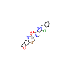 CN1C(=O)[C@H](N2CCc3c(nn(Cc4ccccc4)c3Cl)C2=O)CSc2cc3occc3cc21